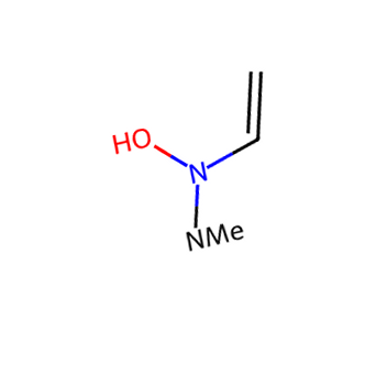 C=CN(O)NC